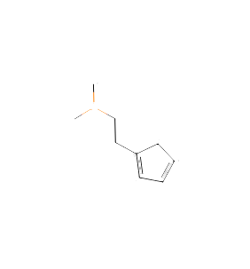 CP(C)CCC1=CC=CC1